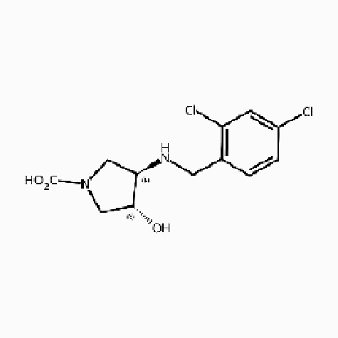 O=C(O)N1C[C@@H](O)[C@H](NCc2ccc(Cl)cc2Cl)C1